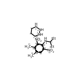 C1CNNNC1.CCC(CC)Nc1c([N+](=O)[O-])cc(C)c(C)c1[N+](=O)[O-]